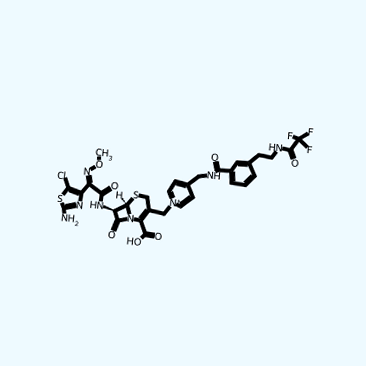 CO/N=C(\C(=O)N[C@@H]1C(=O)N2C(C(=O)O)=C(C[n+]3ccc(CNC(=O)c4cccc(CCNC(=O)C(F)(F)F)c4)cc3)CS[C@H]12)c1nc(N)sc1Cl